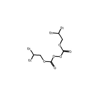 CCC(CC)COC(=O)OOC(=O)OCC(CC)CC